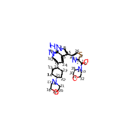 O=C(c1nc(-c2c[nH]c3ncc([C@H]4CC[C@@H](N5CCOCC5)CC4)cc23)cs1)N1CCOCC1